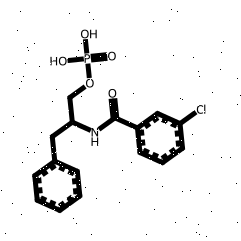 O=C(NC(COP(=O)(O)O)Cc1ccccc1)c1cccc(Cl)c1